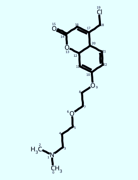 CN(C)CCCOCCOC1=CC2OC(=O)C=C(CCl)C2C=C1